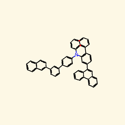 c1ccc(-c2ccc(-c3cc4ccccc4c4ccccc34)cc2N(c2ccccc2)c2ccc(-c3cccc(-c4ccc5ccccc5c4)c3)cc2)cc1